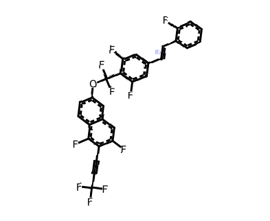 Fc1ccccc1/C=C/c1cc(F)c(C(F)(F)Oc2ccc3c(F)c(C#CC(F)(F)F)c(F)cc3c2)c(F)c1